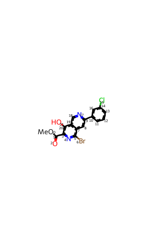 COC(=O)c1nc(Br)c2cc(-c3cccc(Cl)c3)ncc2c1O